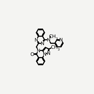 Cc1cc2n(Cc3nc(N(C)Cc4cccnc4)c4ccccc4n3)c(=O)c3ccccc3n2n1